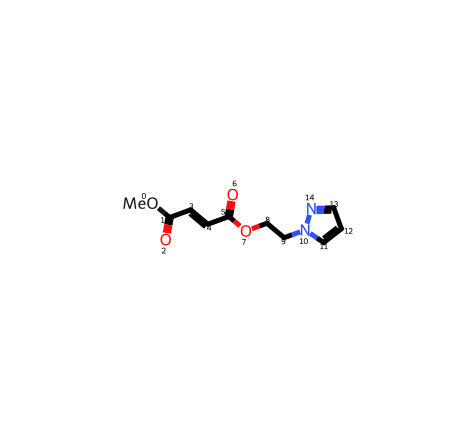 COC(=O)/C=C/C(=O)OCCn1cccn1